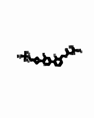 BC(B)(B)ON=C1CN(c2ncc(-c3cccc(COC(=O)NC(=N)N)c3F)cc2F)C1